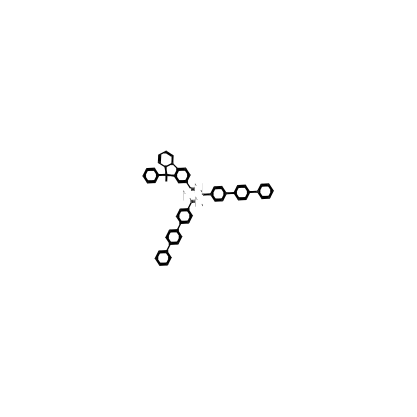 CC1(c2ccccc2)c2cc(-c3nc(-c4ccc(-c5ccc(-c6ccccc6)cc5)cc4)nc(-c4ccc(-c5ccc(-c6ccccc6)cc5)cc4)n3)ccc2C2C=CC=CC21